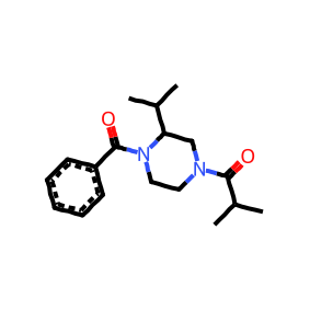 CC(C)C(=O)N1CCN(C(=O)c2ccccc2)C(C(C)C)C1